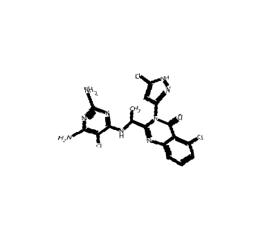 CC(Nc1nc(N)nc(N)c1Cl)c1nc2cccc(Cl)c2c(=O)n1-c1cc(Cl)[nH]n1